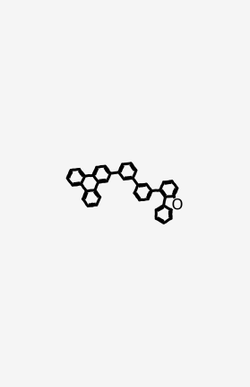 c1cc(-c2cccc(-c3cccc4oc5ccccc5c34)c2)cc(-c2ccc3c4ccccc4c4ccccc4c3c2)c1